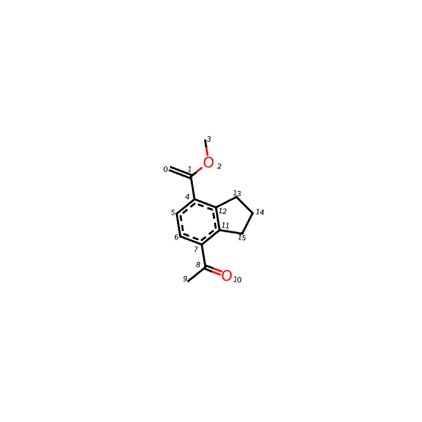 C=C(OC)c1ccc(C(C)=O)c2c1CCC2